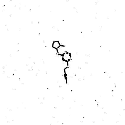 CC#CCOc1cc(OC2CCCC2C)ncn1